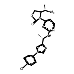 C[C@H](Nc1nccc(N2C(=O)OCC2[C@@H](C)N)n1)c1cn(-c2ccc(Cl)cc2)cn1